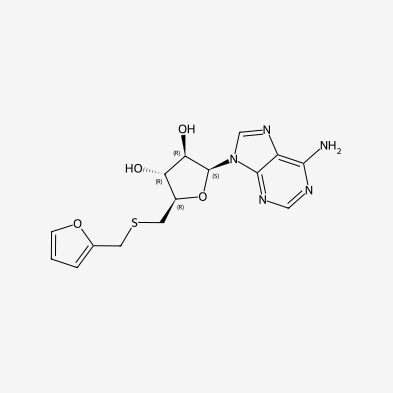 Nc1ncnc2c1ncn2[C@H]1O[C@@H](CSCc2ccco2)[C@H](O)[C@H]1O